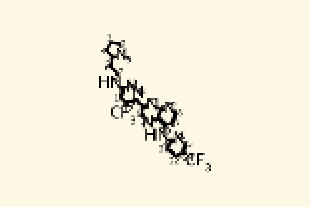 CN1CCCC1CCNc1cc(C(F)(F)F)c(-c2cnc3c(Nc4ccc(C(F)(F)F)cn4)ccnc3n2)nn1